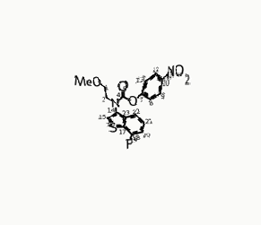 COCCN(C(=O)Oc1ccc([N+](=O)[O-])cc1)c1csc2c(F)cccc12